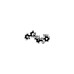 Nc1ccccc1NC(=O)c1ccc(CNc2nccc(-c3ccccn3)n2)s1